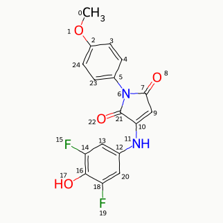 COc1ccc(N2C(=O)C=C(Nc3cc(F)c(O)c(F)c3)C2=O)cc1